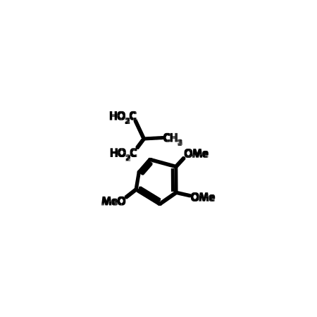 CC(C(=O)O)C(=O)O.COc1ccc(OC)c(OC)c1